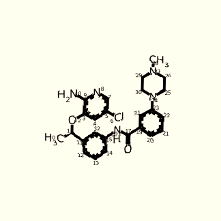 C[C@@H](Oc1cc(Cl)cnc1N)c1cccc(NC(=O)c2cccc(N3CCN(C)CC3)c2)c1